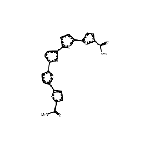 CNC(=O)c1ccc(-c2ccc(-c3ccc(-c4ccc(-c5ccc(C(=O)NC)s5)s4)s3)s2)s1